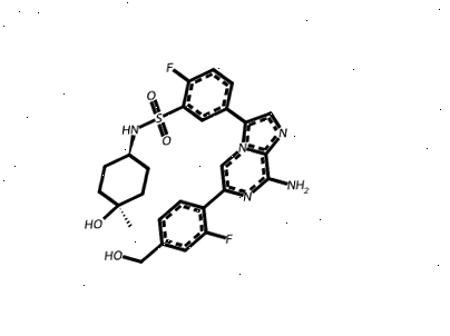 C[C@]1(O)CC[C@@H](NS(=O)(=O)c2cc(-c3cnc4c(N)nc(-c5ccc(CO)cc5F)cn34)ccc2F)CC1